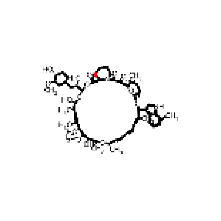 CO[C@H]1[C@@H](O)[C@H](C)C[C@H](C)/C=C/C=C/C=C(\C)C(c2c[nH]c3c(C)cccc23)C[C@@H]2CC[C@@H](C)[C@@](O)(O2)C(=O)C(=O)N2CCCC[C@H]2C(=O)O[C@H]([C@H](C)CC2CC[C@@H](O)[C@H](OC)C2)C[C@H](O)[C@H](C)/C=C(\C)[C@H]1O